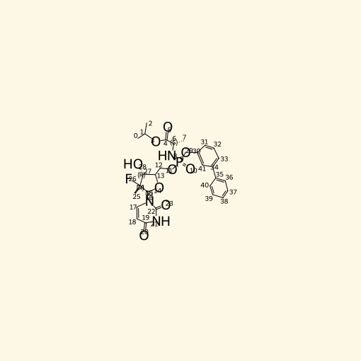 CC(C)OC(=O)[C@H](C)NP(=O)(OCC1O[C@@H](n2ccc(=O)[nH]c2=O)[C@](C)(F)[C@@H]1O)Oc1cccc(-c2ccccc2)c1